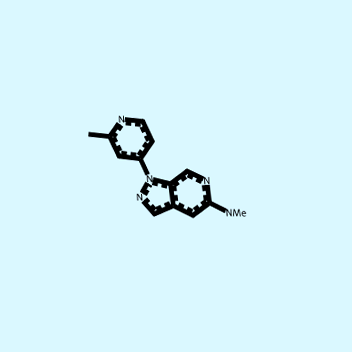 CNc1cc2cnn(-c3ccnc(C)c3)c2cn1